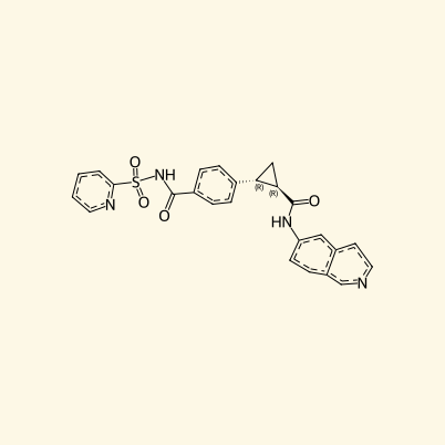 O=C(NS(=O)(=O)c1ccccn1)c1ccc([C@@H]2C[C@H]2C(=O)Nc2ccc3cnccc3c2)cc1